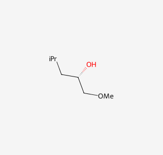 COC[C@@H](O)CC(C)C